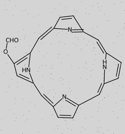 O=COc1cc2cc3nc(cc4ccc(cc5nc(cc1[nH]2)C=C5)[nH]4)C=C3